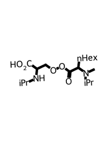 CCCCCCC(C(=O)OOCC(NC(C)C)C(=O)O)N(C)C(C)C